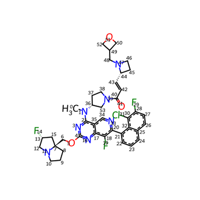 CN(c1nc(OC[C@@]23CCCN2C[C@H](F)C3)nc2c(F)c(-c3cccc4ccc(F)c(Cl)c34)ncc12)[C@@H]1CCN(C(=O)/C=C/[C@H]2CCN2CC2COC2)C1